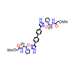 COCC(=O)N[C@H](C(=O)N1CCC[C@H]1c1nc(-c2ccc(-c3ccc(-c4c[nH]c([C@@H]5CCCN5C(=O)[C@@H](NC(=O)COC)C(C)C)n4)cc3)cc2)c[nH]1)C(C)C